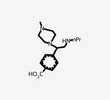 CCCNCC(c1ccc(C(=O)O)cc1)N1CCN(C)CC1